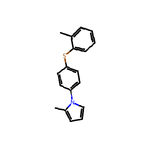 Cc1ccccc1Sc1ccc(-n2cccc2C)cc1